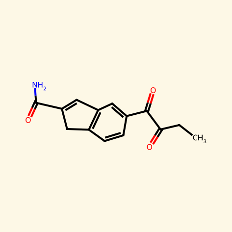 CCC(=O)C(=O)c1ccc2c(c1)C=C(C(N)=O)C2